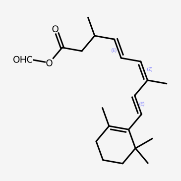 CC1=C(/C=C/C(C)=C\C=C\C(C)CC(=O)OC=O)C(C)(C)CCC1